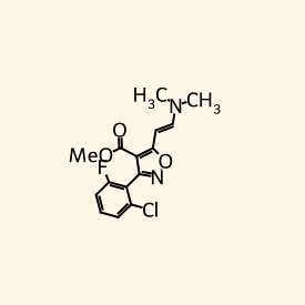 COC(=O)c1c(-c2c(F)cccc2Cl)noc1/C=C/N(C)C